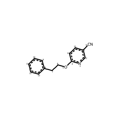 N#Cc1[c]nc(OCCc2ccccc2)cc1